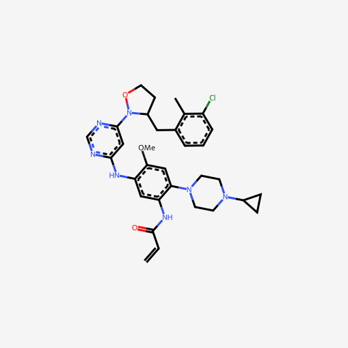 C=CC(=O)Nc1cc(Nc2cc(N3OCCC3Cc3cccc(Cl)c3C)ncn2)c(OC)cc1N1CCN(C2CC2)CC1